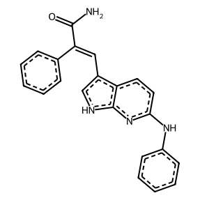 NC(=O)/C(=C/c1c[nH]c2nc(Nc3ccccc3)ccc12)c1ccccc1